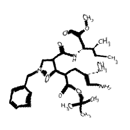 CC[C@H](C)[C@H](NC(=O)C1CN(Cc2ccccc2)OC1C(C[C@H](C)CN)C(=O)OC(C)(C)C)C(=O)OC